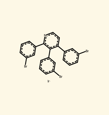 Brc1cccc(-c2ccnc(-c3cccc(Br)c3)c2-c2cccc(Br)c2)c1.[Ir]